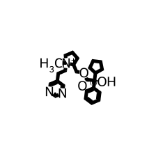 C[N+]1(CCc2cncnc2)CCCC1COC(=O)[C@](O)(c1ccccc1)C1CCCC1